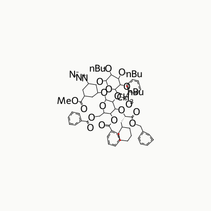 CCCCOC1C(C)OC(OC2C(N=[N+]=[N-])CC(C(=O)OC)CC2OC2OC(COC(=O)c3ccccc3)C(OC(=O)c3ccccc3)C(O[C@@H](CC3CCCCC3)C(=O)OCc3ccccc3)C2OC(=O)c2ccccc2)C(OCCCC)C1OCCCC